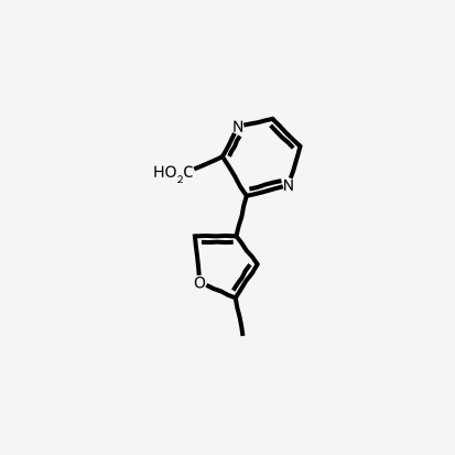 Cc1cc(-c2nccnc2C(=O)O)co1